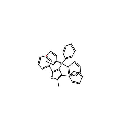 Cc1oc(-c2ccccc2)c([Si](c2ccccc2)(c2ccccc2)c2ccccc2)c1-c1ccccc1